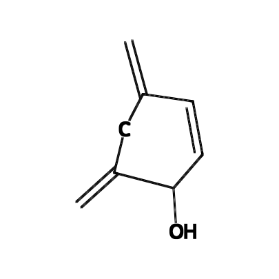 C=C1C=CC(O)C(=C)C1